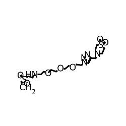 C=CS(=O)(=O)CCNCCOCCOCCOCCn1cc(CN2CCS(=O)(=O)CC2)nn1